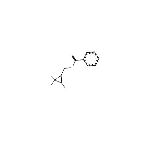 CCOC(=O)C1C(COC(=O)c2ccccc2)C1(C)C